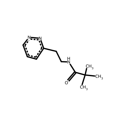 CC(C)(C)C(=O)NCCc1cccnn1